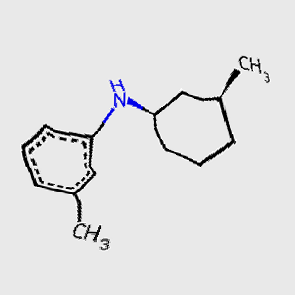 Cc1cccc(N[C@@H]2CCC[C@H](C)C2)c1